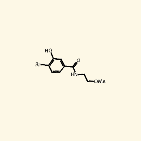 COCCNC(=O)c1ccc(Br)c(O)c1